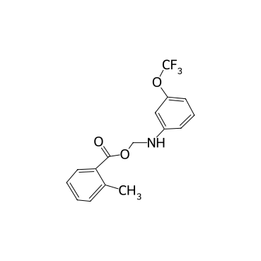 Cc1ccccc1C(=O)OCNc1cccc(OC(F)(F)F)c1